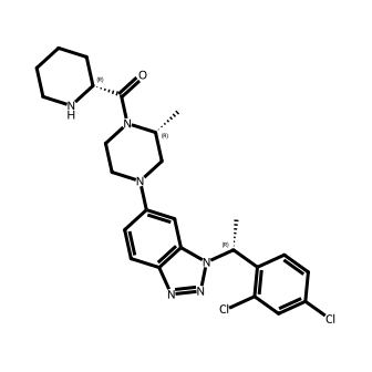 C[C@@H]1CN(c2ccc3nnn([C@H](C)c4ccc(Cl)cc4Cl)c3c2)CCN1C(=O)[C@H]1CCCCN1